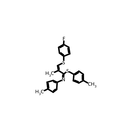 CC(=CSc1ccc(F)cc1)C(=Nc1ccc(C)cc1)Sc1ccc(C)cc1